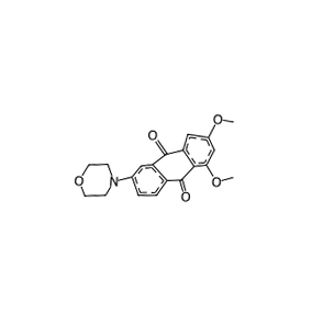 COc1cc(OC)c2c(c1)C(=O)c1cc(N3CCOCC3)ccc1C2=O